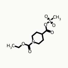 CCOC(=O)N1CCC(C(=O)OS(C)(=O)=O)CC1